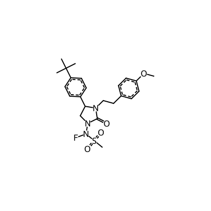 COc1ccc(CCN2C(=O)N(N(F)S(C)(=O)=O)CC2c2ccc(C(C)(C)C)cc2)cc1